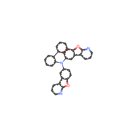 c1ccc(-c2ccccc2N(c2ccc3oc4ncccc4c3c2)c2ccc3oc4ncccc4c3c2)cc1